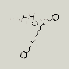 CN[C@@H](C)C(=O)N[C@H](C(=O)N1CCC[C@H]1CN(CCc1ccccc1)C(=O)CCCCCCC(=O)NCCc1ccccc1)C(C)(C)C